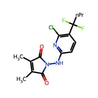 CCCC(F)(F)c1ccc(NN2C(=O)C(C)=C(C)C2=O)nc1Cl